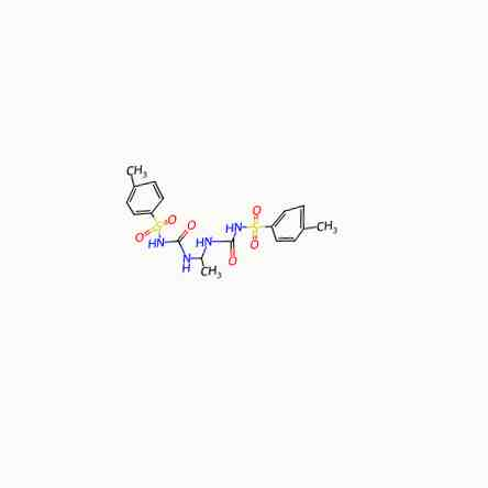 Cc1ccc(S(=O)(=O)NC(=O)NC(C)NC(=O)NS(=O)(=O)c2ccc(C)cc2)cc1